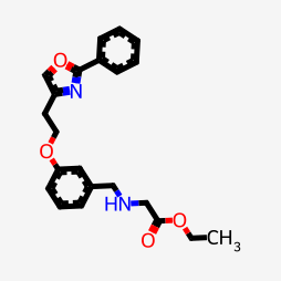 CCOC(=O)CNCc1cccc(OCCc2coc(-c3ccccc3)n2)c1